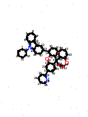 c1ccc(-n2c3ccccc3c3cc(-c4cccc5c4Oc4cc(-c6ccccn6)ccc4C54c5ccccc5Oc5ccccc54)ccc32)cc1